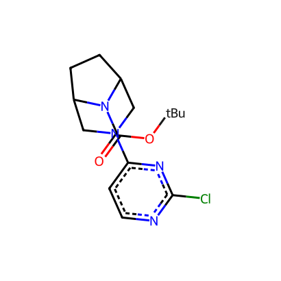 CC(C)(C)OC(=O)N1C2CCC1CN(c1ccnc(Cl)n1)C2